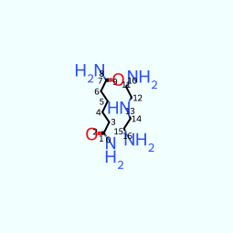 NC(=O)CCCCC(N)=O.NCCNCCN